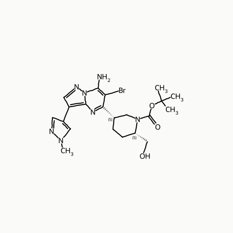 Cn1cc(-c2cnn3c(N)c(Br)c([C@H]4CC[C@@H](CO)N(C(=O)OC(C)(C)C)C4)nc23)cn1